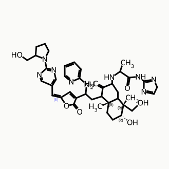 C=C1C(NC(C)C(=O)NC2=NCC=N2)CC2[C@](C)(CC[C@@H](O)[C@@]2(C)CO)C1CC(Nc1ccccn1)C1=C/C(=C\c2cnc(N3CCCC3CO)nc2)OC1=O